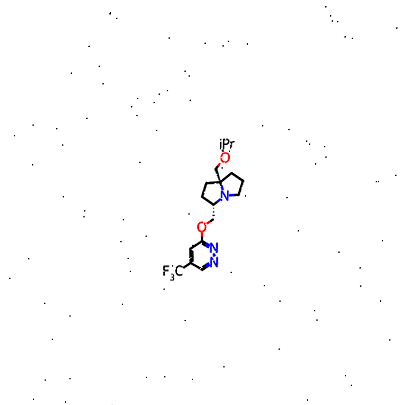 CC(C)OC[C@@]12CCCN1[C@H](COc1cc(C(F)(F)F)cnn1)CC2